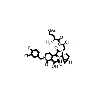 CSCC[C@H](N)C(=O)O[C@@H](C)CN1C(=O)c2c3c(c(O)c(=O)n2[C@@]12CC[C@H]1C[C@H]12)C(=O)N(Cc1ccc(F)c(Cl)c1)CC3